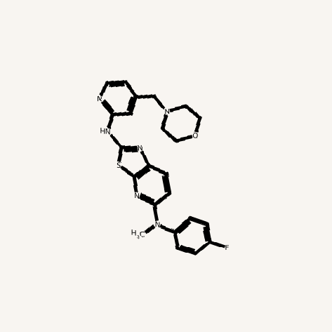 CN(c1ccc(F)cc1)c1ccc2nc(Nc3cc(CN4CCOCC4)ccn3)sc2n1